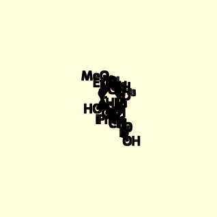 CCn1c(-c2cnccc2COC)c2c3cc(ccc31)-c1cc(O)cc(c1)C[C@H](NC(=O)[C@H](C(C)C)N(C)C(=O)[C@H]1CCN(C(=O)CN3CC(O)C3)C1)C(=O)N1CCC[C@H](N1)C(=O)OCC(C)(C)C2